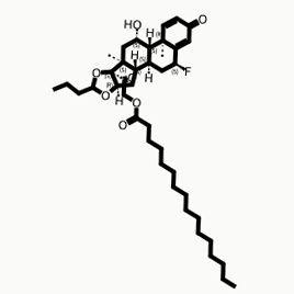 CCCCCCCCCCCCCCCC(=O)OCC(=O)[C@@]12OC(CCC)O[C@@H]1C[C@H]1[C@@H]3C[C@H](F)C4=CC(=O)C=C[C@]4(C)[C@H]3[C@@H](O)C[C@@]12C